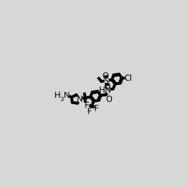 CCS(=O)(=O)c1ccc(Cl)cc1CNC(=O)c1ccc(C(C)(C)N2CCC(N)C2)c(C(F)(F)F)c1